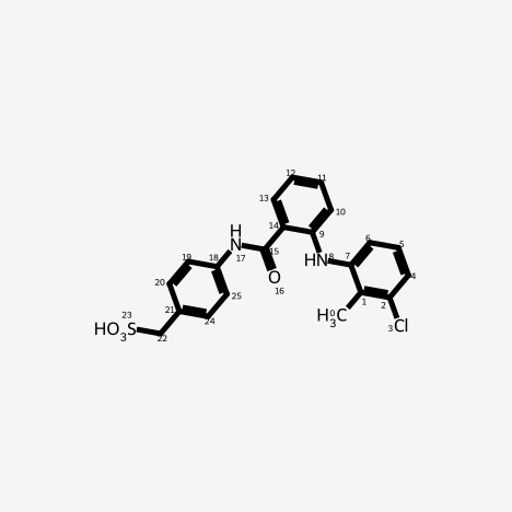 Cc1c(Cl)cccc1Nc1ccccc1C(=O)Nc1ccc(CS(=O)(=O)O)cc1